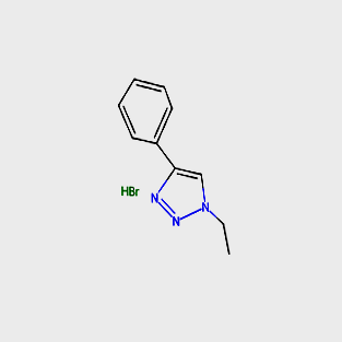 Br.CCn1cc(-c2ccccc2)nn1